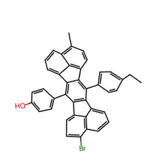 CCc1ccc(-c2c3c4ccc(C)c5cccc(c3c(-c3ccc(O)cc3)c3c6ccc(Br)c7cccc(c23)c76)c54)cc1